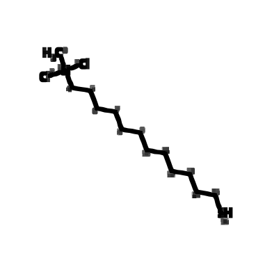 C[Si](Cl)(Cl)CCCCCCCCCCCCS